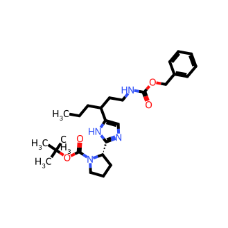 CCCC(CCNC(=O)OCc1ccccc1)c1cnc([C@@H]2CCCN2C(=O)OC(C)(C)C)[nH]1